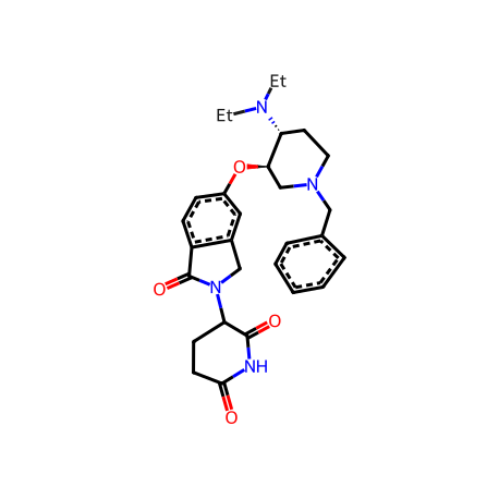 CCN(CC)[C@@H]1CCN(Cc2ccccc2)C[C@H]1Oc1ccc2c(c1)CN(C1CCC(=O)NC1=O)C2=O